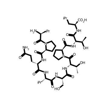 CC(C)C[C@H](NC(=O)[C@@H](NC(=O)[C@@H]1CCCN1C(=O)[C@@H](NC(=O)[C@H](CO)NC(=O)[C@@H](NC(=O)[C@H](CCC(N)=O)NC(=O)[C@@H]1CCCN1C(=O)[C@@H](N)C(C)C)C(C)C)[C@@H](C)O)[C@@H](C)O)C(=O)O